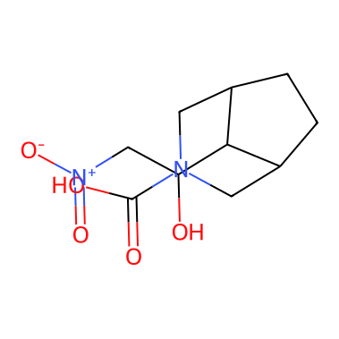 O=C(O)N1CC2CCC(C1)C2C(O)C[N+](=O)[O-]